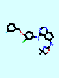 CC1(C)COC(Nc2ccc3ncnc(Nc4ccc(OCc5cccc(F)c5)c(Cl)c4)c3c2)=N1